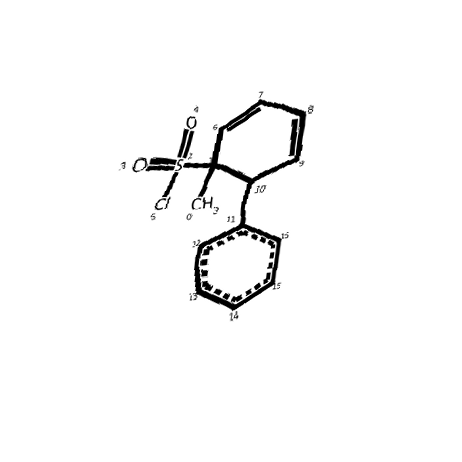 CC1(S(=O)(=O)Cl)C=CC=CC1c1ccccc1